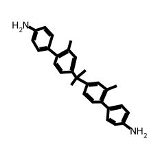 Cc1cc(C(C)(C)c2ccc(-c3ccc(N)cc3)c(C)c2)ccc1-c1ccc(N)cc1